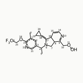 Cc1cc(C(C)N2CC3C(COO)=NC=CC3C2=C2CC2)cnc1OCC(F)(F)F